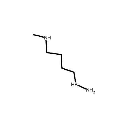 CNCCCCPN